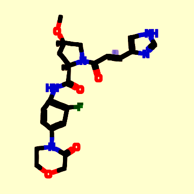 CO[C@@H]1C[C@H](C(=O)Nc2ccc(N3CCOCC3=O)cc2F)N(C(=O)/C=C/c2c[nH]cn2)C1